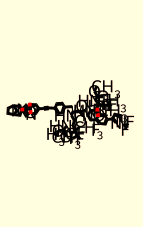 COC(=O)N[C@H](C(=O)N[C@@H](Cc1ccc(C#Cc2ccc(N3CC4CCC(C3)N4[C@@H]3CCOC3)nc2)cc1)[C@@H](O)CN(Cc1c(F)cc(-c2ccn(C(F)F)n2)cc1F)NC(=O)[C@@H](NC(=O)OC)C(C)(C)C(F)(F)F)C(C)(C)C(F)(F)F